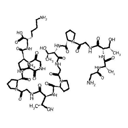 C[C@H](NC(=O)CN)C(=O)N[C@H](C(=O)NCC(=O)N1CCC[C@H]1C(=O)N[C@H](C(=O)NCC(=O)N1CCC[C@H]1C(=O)N[C@H](C(=O)NCC(=O)N1CCC[C@H]1C(=O)N[C@@H](C)C(=O)NCC(=O)N1CCC[C@H]1C(=O)N[C@@H](CCCCN)C(=O)O)[C@@H](C)O)[C@@H](C)O)[C@@H](C)O